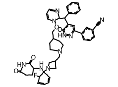 N#Cc1cccc(-c2cc(C(c3ccccc3)C3N=CC=CN3OCC3CCN(CC4CN(C5(NC6CCC(=O)NC6=O)C=CC=CC5F)C4)CC3)c(=O)[nH]n2)c1